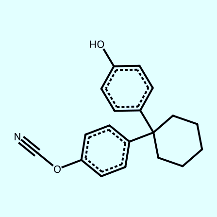 N#COc1ccc(C2(c3ccc(O)cc3)CCCCC2)cc1